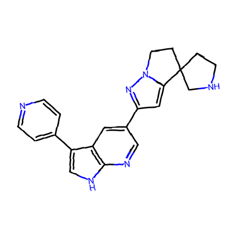 c1cc(-c2c[nH]c3ncc(-c4cc5n(n4)CCC54CCNC4)cc23)ccn1